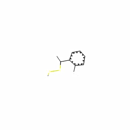 CCSSC(C)c1ccccc1[N+](=O)[O-]